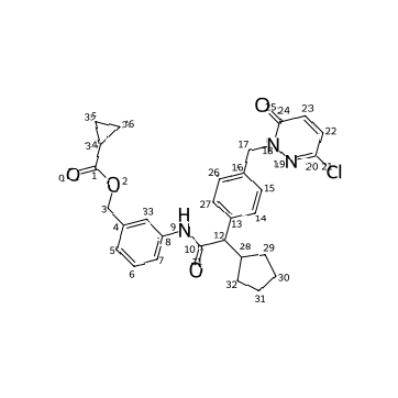 O=C(OCc1cccc(NC(=O)C(c2ccc(Cn3nc(Cl)ccc3=O)cc2)C2CCCC2)c1)C1CC1